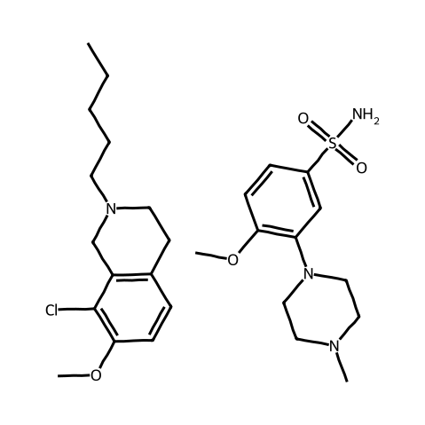 CCCCCN1CCc2ccc(OC)c(Cl)c2C1.COc1ccc(S(N)(=O)=O)cc1N1CCN(C)CC1